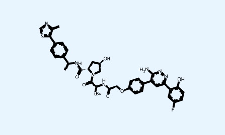 Cc1ncsc1-c1ccc(C(C)NC(=O)[C@@H]2C[C@@H](O)CN2C(=O)C(NC(=O)COc2ccc(-c3cc(-c4cc(F)ccc4O)nnc3N)cc2)C(C)(C)C)cc1